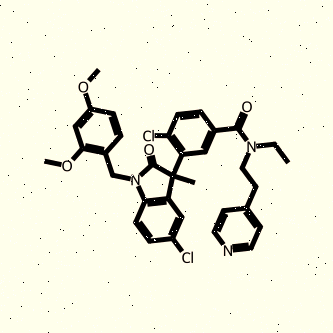 CCN(CCc1ccncc1)C(=O)c1ccc(Cl)c(C2(C)C(=O)N(Cc3ccc(OC)cc3OC)c3ccc(Cl)cc32)c1